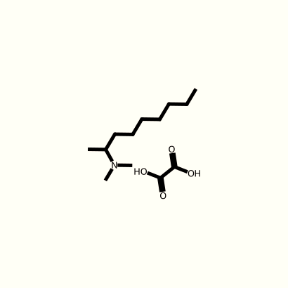 CCCCCCCC(C)N(C)C.O=C(O)C(=O)O